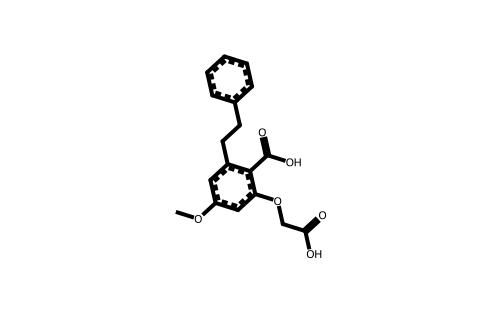 COc1cc(CCc2ccccc2)c(C(=O)O)c(OCC(=O)O)c1